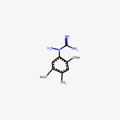 COc1cc(N(N)C(=N)N)c(OC)cc1C